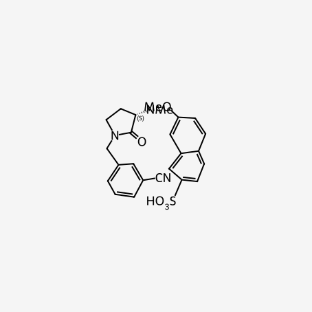 CN[C@H]1CCN(Cc2cccc(C#N)c2)C1=O.COc1ccc2ccc(S(=O)(=O)O)cc2c1